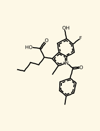 CCCCC(C(=O)O)c1c(C)n(C(=O)c2ccc(C)cc2)c2cc(F)c(O)cc12